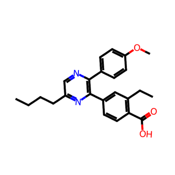 CCCCc1cnc(-c2ccc(OC)cc2)c(-c2ccc(C(=O)O)c(CC)c2)n1